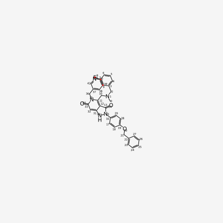 CN(Cc1cccc(F)c1)Cc1c2c(=O)n(-c3ccc(OCc4ccccc4)cc3)[nH]c2cc(=O)n1Cc1cccnc1